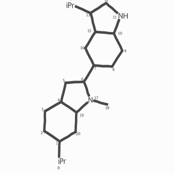 CC(C)C1CCC2CC(C3CCC4NCC(C(C)C)C4C3)N(C)C2C1